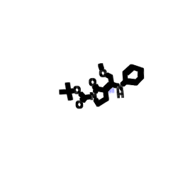 COC/C(Nc1ccccc1)=C1/CCN(C(=O)OC(C)(C)C)C1=O